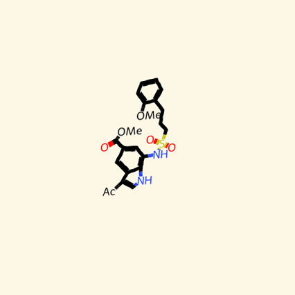 COC(=O)c1cc(NS(=O)(=O)CCCc2ccccc2OC)c2[nH]cc(C(C)=O)c2c1